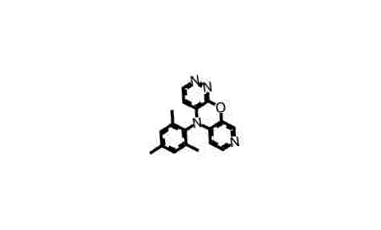 Cc1cc(C)c(N2c3ccncc3Oc3nnccc32)c(C)c1